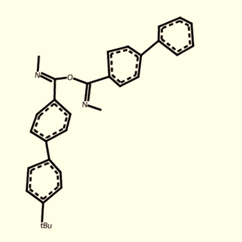 C/N=C(\O/C(=N/C)c1ccc(-c2ccccc2)cc1)c1ccc(-c2ccc(C(C)(C)C)cc2)cc1